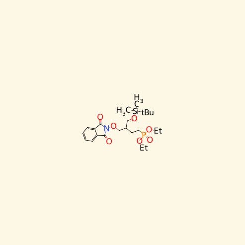 CCOP(=O)(CCC(CON1C(=O)c2ccccc2C1=O)CO[Si](C)(C)C(C)(C)C)OCC